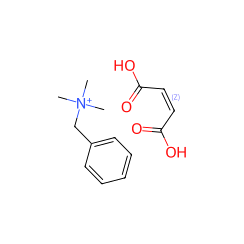 C[N+](C)(C)Cc1ccccc1.O=C(O)/C=C\C(=O)O